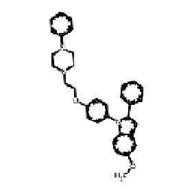 COc1ccc2c(c1)cc(-c1ccccc1)n2-c1ccc(OCCN2CCN(c3ccccc3)CC2)cc1